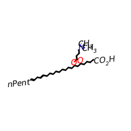 CCCCCC=CCC=CCCCCCCCCCC(CCCCCCC(=O)O)OC(=O)CCCN(C)C